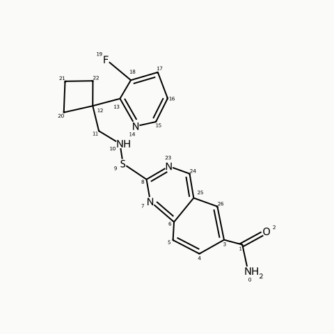 NC(=O)c1ccc2nc(SNCC3(c4ncccc4F)CCC3)ncc2c1